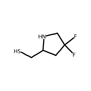 FC1(F)CNC(CS)C1